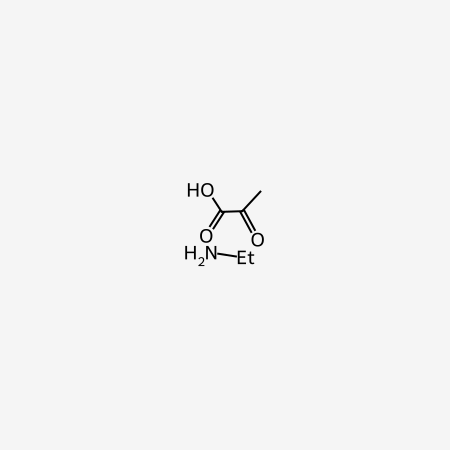 CC(=O)C(=O)O.CCN